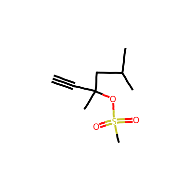 C#CC(C)(CC(C)C)OS(C)(=O)=O